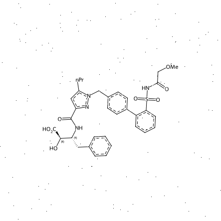 CCCc1cc(C(=O)N[C@H](Cc2ccccc2)[C@@H](O)C(=O)O)nn1Cc1ccc(-c2ccccc2S(=O)(=O)NC(=O)COC)cc1